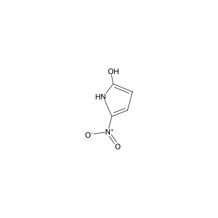 O=[N+]([O-])c1ccc(O)[nH]1